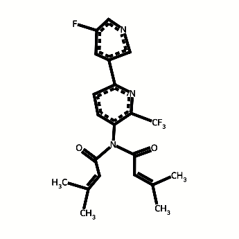 CC(C)=CC(=O)N(C(=O)C=C(C)C)c1ccc(-c2cncc(F)c2)nc1C(F)(F)F